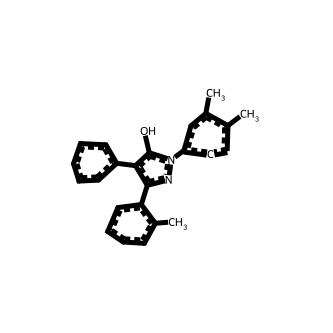 Cc1ccc(-n2nc(-c3ccccc3C)c(-c3ccccc3)c2O)cc1C